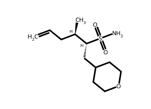 C=CC[C@@H](C)[C@@H](CC1CCOCC1)S(N)(=O)=O